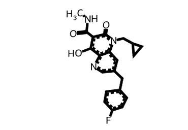 CNC(=O)c1c(O)c2ncc(Cc3ccc(F)cc3)cc2n(CC2CC2)c1=O